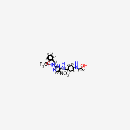 CC(O)CNC1CCC(CNc2nc(NCc3ccccc3OC(F)(F)F)ncc2[N+](=O)[O-])CC1